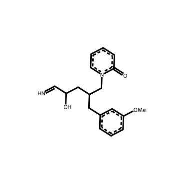 COc1cccc(CC(CC(O)C=N)Cn2ccccc2=O)c1